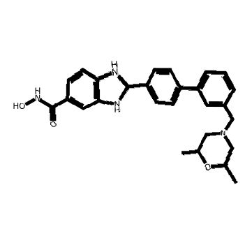 CC1CN(Cc2cccc(-c3ccc(C4Nc5ccc(C(=O)NO)cc5N4)cc3)c2)CC(C)O1